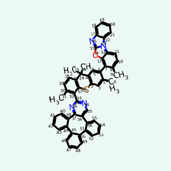 Cc1cc2c(cc1-c1c(C)ccc3c1oc1nc4ccccc4n13)C(C)(C)c1ccc(C)c(-c3ncc4c(n3)-c3ccccc3-c3ccccc3-c3ccccc3-4)c1S2